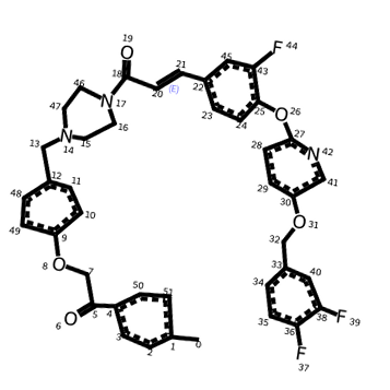 Cc1ccc(C(=O)COc2ccc(CN3CCN(C(=O)/C=C/c4ccc(Oc5ccc(OCc6ccc(F)c(F)c6)cn5)c(F)c4)CC3)cc2)cc1